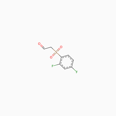 O=CCS(=O)(=O)c1ccc(F)cc1F